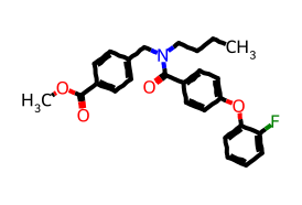 CCCCN(Cc1ccc(C(=O)OC)cc1)C(=O)c1ccc(Oc2ccccc2F)cc1